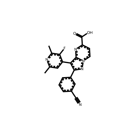 Cc1cc(-c2c(-c3cccc(C#N)c3)nn3ccc(C(=O)O)nc23)c(F)c(C)n1